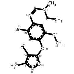 CCN(C)/C=N\c1cc(OC)c(Oc2snc(C)c2Cl)cc1Br